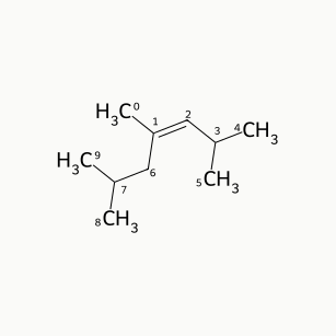 C/C(=C/C(C)C)CC(C)C